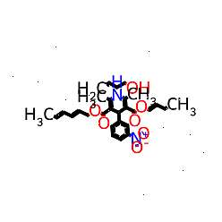 C=CCCO.CC=CC=CCOC(=O)C1=C(C)NC(C)=C(C(=O)OC=CCC)C1c1cccc([N+](=O)[O-])c1